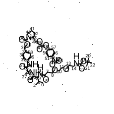 CC(C)[C@H](NC(=O)CCOCCOCCNC(=O)OC(C)(C)C)C(=O)N[C@@H](C)C(=O)Nc1ccc(COC(=O)N2CCC[C@H]2COC(=O)Oc2ccc([N+](=O)[O-])cc2)cc1